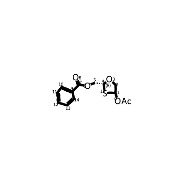 CC(=O)OC1CO[C@@H](COC(=O)c2ccccc2)S1